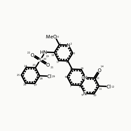 COc1ncc(-c2ccc3ncc(Cl)c(=O)n3c2)cc1NS(=O)(=O)c1ccccc1Cl